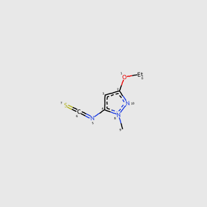 CCOc1cc(N=C=S)n(C)n1